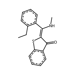 CCc1ccccc1C(NC)=C1Sc2ccccc2C1=O